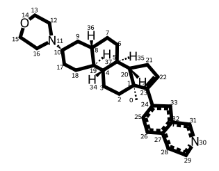 C[C@]12CC[C@H]3[C@@H](CC[C@H]4C[C@@H](N5CCOCC5)CC[C@@H]43)[C@@H]1CC=C2c1ccc2ccncc2c1